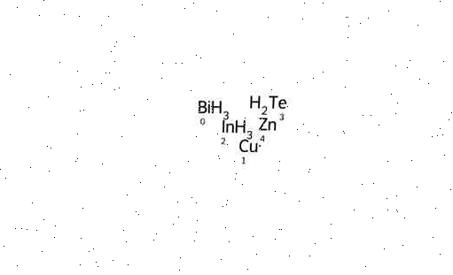 [BiH3].[Cu].[InH3].[TeH2].[Zn]